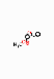 CCOC(=O)c1ccc2c(c1)C(Cc1ccccc1)CO2